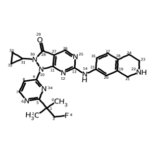 CC(C)(CF)c1nccc(-n2c3nc(Nc4ccc5c(c4)CNCC5)ncc3c(=O)n2C2CC2)n1